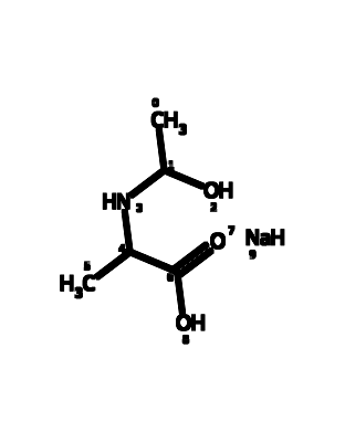 CC(O)NC(C)C(=O)O.[NaH]